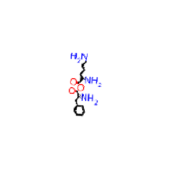 NCCCC[C@@H](N)C(=O)OC(=O)[C@H](N)Cc1ccccc1